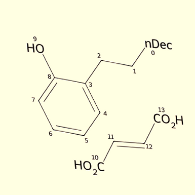 CCCCCCCCCCCCc1ccccc1O.O=C(O)C=CC(=O)O